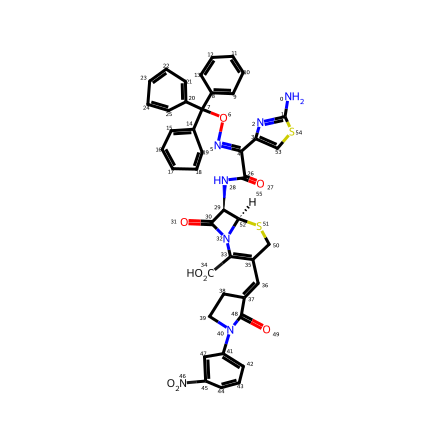 Nc1nc(C(=NOC(c2ccccc2)(c2ccccc2)c2ccccc2)C(=O)N[C@@H]2C(=O)N3C(C(=O)O)=C(C=C4CCN(c5cccc([N+](=O)[O-])c5)C4=O)CS[C@H]23)cs1